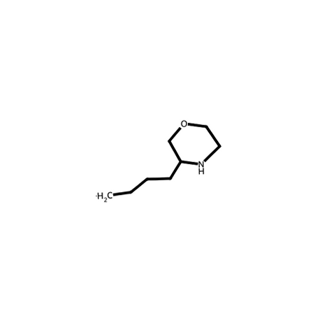 [CH2]CCCC1COCCN1